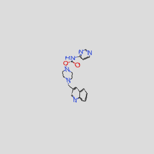 O=C(Nc1ccncn1)ON1CCN(Cc2cnc3ccccc3c2)CC1